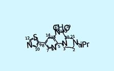 CC(C)N1CCN2c3ncc(-c4cncs4)cc3N(C)C(=O)C2C1